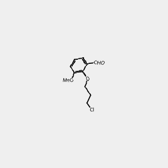 COc1cccc(C=O)c1OCCCCl